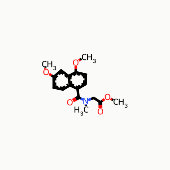 COC(=O)CN(C)C(=O)c1ccc(OC)c2cc(OC)ccc12